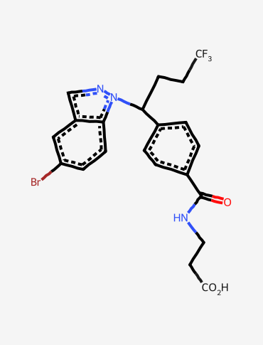 O=C(O)CCNC(=O)c1ccc(C(CCC(F)(F)F)n2ncc3cc(Br)ccc32)cc1